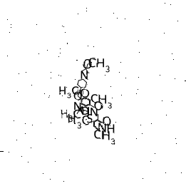 COC1CN(C2CCC([C@]3(C)Oc4c(C)c(C(=O)NCc5c(SC)cc(C)[nH]c5=O)c5oc(C)nc5c4O3)CC2)C1